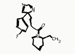 CCC1CCCCN1C(=O)CCC1(c2ccc(F)cc2)C=NC=N1